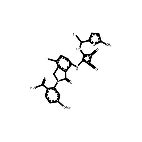 CCC(Nc1c(Nc2ccc(Cl)c3c2C(=O)N(c2cc(OC)ccc2C(N)=O)C3)c(=O)c1=O)c1ccc(C)o1